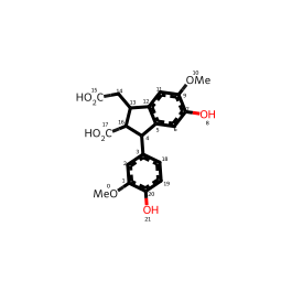 COc1cc(C2c3cc(O)c(OC)cc3C(CC(=O)O)C2C(=O)O)ccc1O